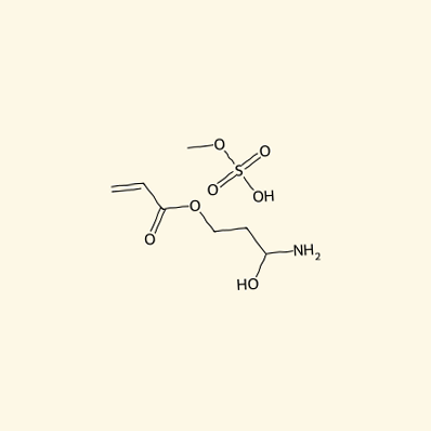 C=CC(=O)OCCC(N)O.COS(=O)(=O)O